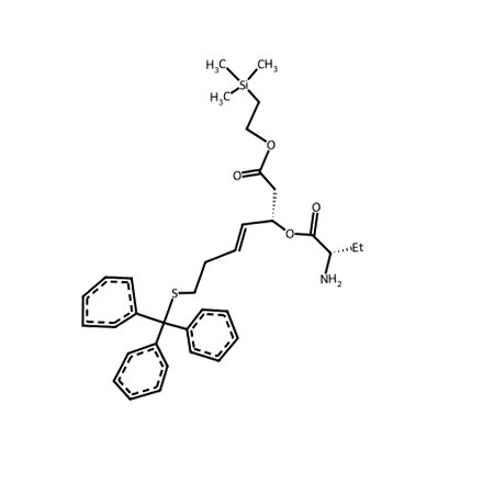 CC[C@H](N)C(=O)O[C@H](/C=C/CCSC(c1ccccc1)(c1ccccc1)c1ccccc1)CC(=O)OCC[Si](C)(C)C